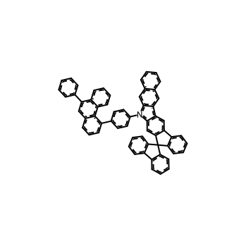 c1ccc(-c2cc3cccc(-c4ccc(-n5c6cc7c(cc6c6cc8ccccc8cc65)-c5ccccc5C75c6ccccc6-c6ccccc65)cc4)c3c3ccccc23)cc1